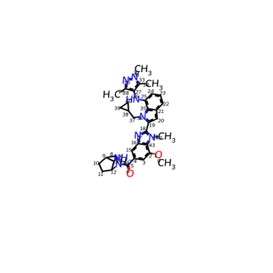 COc1cc(C(=O)N2CC3CCC2[C@@H]3N)cc2nc(-c3cc4cccc(Nc5c(C)nn(C)c5C)c4n3CC3CC3)n(C)c12